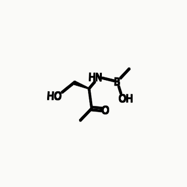 CB(O)N[C@H](CO)C(C)=O